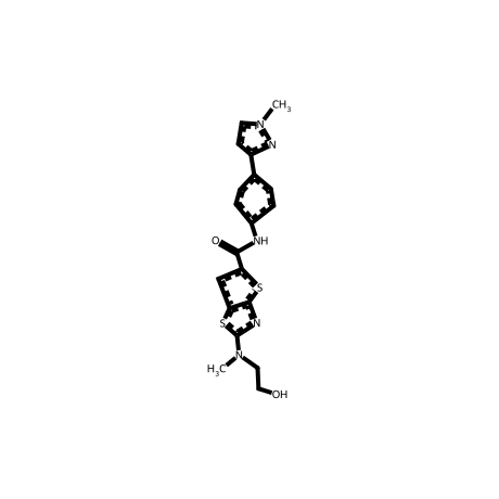 CN(CCO)c1nc2sc(C(=O)Nc3ccc(-c4ccn(C)n4)cc3)cc2s1